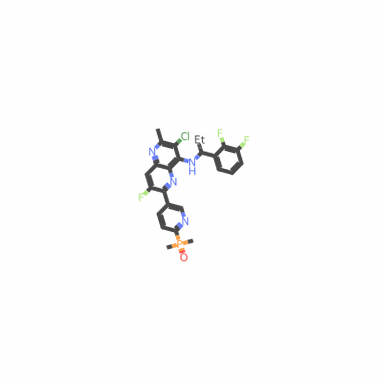 CCC(Nc1c(Cl)c(C)nc2cc(F)c(-c3ccc(P(C)(C)=O)nc3)nc12)c1cccc(F)c1F